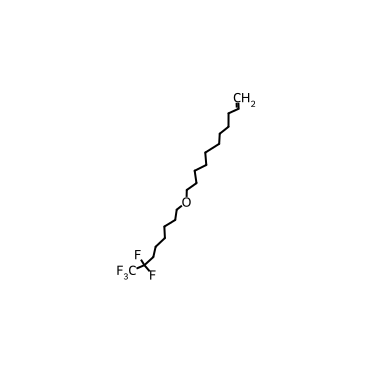 C=CCCCCCCCCCOCCCCCCC(F)(F)C(F)(F)F